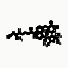 CC1SC(C)(C)[C@@H](C(=O)N[C@@H](Cc2ccc(NC(=O)CCCN/C(N)=N/C#N)cc2)C(=O)O)N1S(=O)(=O)c1ccccc1